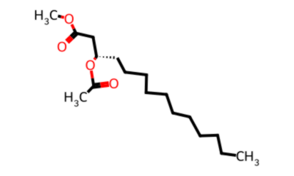 CCCCCCCCCCC[C@@H](CC(=O)OC)OC(C)=O